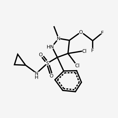 CN1NC(c2ccccc2)(S(=O)(=O)NC2CC2)C(Cl)(Cl)C1OC(F)F